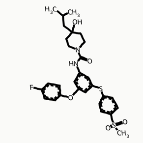 CC(C)CC1(O)CCN(C(=O)Nc2cc(Oc3ccc(F)cc3)cc(Sc3ccc(S(C)(=O)=O)cc3)c2)CC1